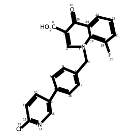 O=C(O)c1cn(Cc2ccc(-c3ccc(Cl)nc3)cc2)c2c(F)cccc2c1=O